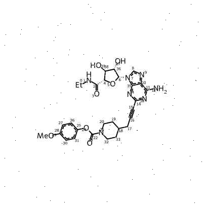 CCNC(=O)[C@H]1O[C@@H](n2cnc3c(N)nc(C#CCC4CCN(C(=O)Oc5ccc(OC)cc5)CC4)nc32)[C@@H](O)C1O